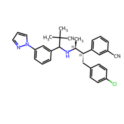 C[C@H](NC(c1cccc(-n2cccn2)c1)C(C)(C)C#N)[C@@H](Cc1ccc(Cl)cc1)c1cccc(C#N)c1